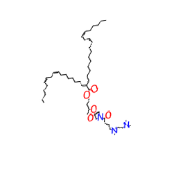 CCCCC/C=C\C/C=C\CCCCCCCCC(CCCCCCC/C=C\C/C=C\CCCCC)C(=O)OCCC1COC2(CN(C(=O)CCCN(C)CCN(C)C)C2)O1